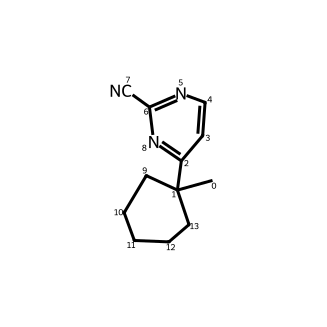 CC1(c2ccnc(C#N)n2)CCCCC1